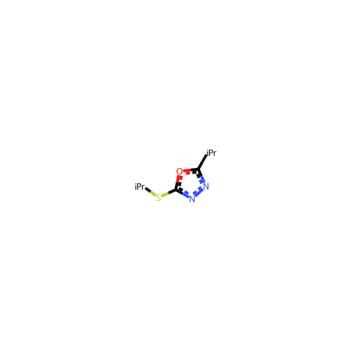 CC(C)Sc1nnc(C(C)C)o1